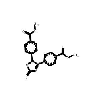 COC(=O)c1ccc(C2=NC(=O)OC2c2ccc(C(=O)OC)cc2)cc1